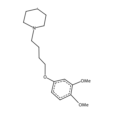 COc1ccc(OCCCCN2CC[CH]CC2)cc1OC